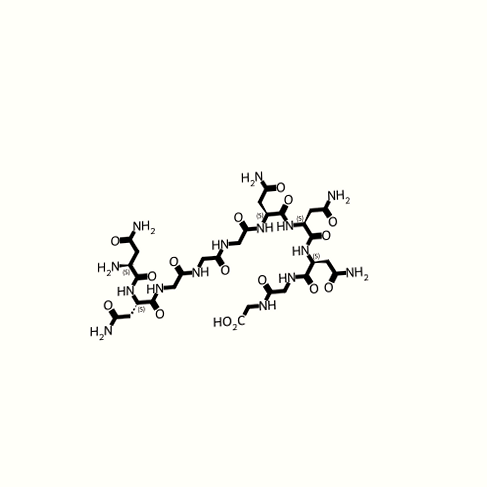 NC(=O)C[C@H](NC(=O)CNC(=O)CNC(=O)CNC(=O)[C@H](CC(N)=O)NC(=O)[C@@H](N)CC(N)=O)C(=O)N[C@@H](CC(N)=O)C(=O)N[C@@H](CC(N)=O)C(=O)NCC(=O)NCC(=O)O